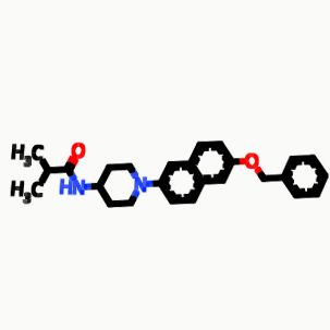 CC(C)C(=O)NC1CCN(c2ccc3cc(OCc4ccccc4)ccc3c2)CC1